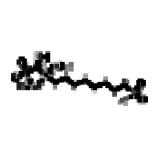 CCCCCCCC[N+](CCCCCCCC)(CCCCCCCCS(=O)(=O)F)C(=N)S(=O)(=O)F